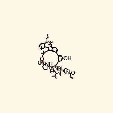 C=CC(=O)N1CC[C@H](C(=O)N(C)C(C(=O)N[C@H]2Cc3cc(O)cc(c3)-c3ccc4c(c3)c(c(-c3cnccc3[C@H](CCC)OC)n4CC)CC(C)(C)COC(=O)[C@@H]3CCCN(N3)C2=O)C(C)C)C1